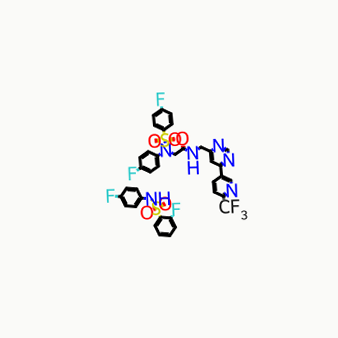 O=C(CN(c1ccc(F)cc1)S(=O)(=O)c1ccc(F)cc1)NCc1cc(-c2ccc(C(F)(F)F)nc2)ncn1.O=S(=O)(Nc1ccc(F)cc1)c1ccccc1F